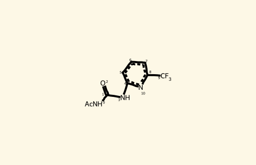 [CH2]C(=O)NC(=O)Nc1cccc(C(F)(F)F)n1